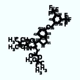 CC(C)(C)OC(=O)C[C@@H](NC(=O)OC(C)(C)C)C(=O)C1CCc2cc(OCc3cc(C(F)(F)F)cc(C(F)(F)F)c3)ccc21